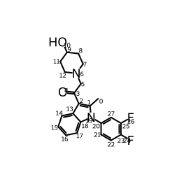 Cc1c(C(=O)CN2CCC(O)CC2)c2ccccc2n1-c1ccc(F)c(F)c1